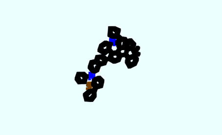 CC1(C)c2ccccc2C(c2ccc(-c3ccc4ccc(N(c5ccccc5)c5cccc6c5sc5ccccc56)cc4c3)c3c2-c2cccc4c5ccccc5n(c24)-c2ccccc2-3)c2ccccc21